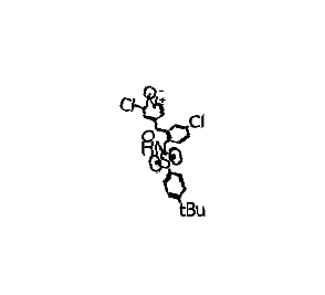 CC(C)(C)c1ccc(S(=O)(=O)Nc2ccc(Cl)cc2C(=O)c2cc[n+]([O-])c(Cl)c2)cc1